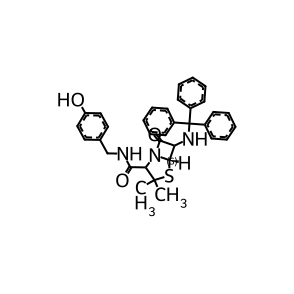 CC1(C)S[C@H]2C(NC(c3ccccc3)(c3ccccc3)c3ccccc3)C(=O)N2C1C(=O)NCc1ccc(O)cc1